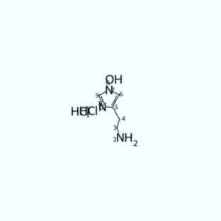 Cl.Cl.NCCc1cn(O)cn1